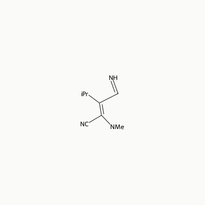 CN/C(C#N)=C(\C=N)C(C)C